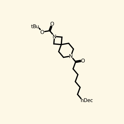 CCCCCCCCCCCCCCCC(=O)N1CCC2(CC1)CN(C(=O)OC(C)(C)C)C2